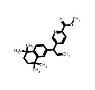 C=CC(c1ccc(C(=O)OC)nc1)c1ccc2c(c1)C(C)(C)CCC2(C)C